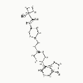 O=C(NC1CCC(CCN2CCN(c3nccc4c3CCO4)CC2)CC1)C1(O)CCC1